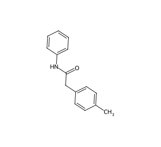 Cc1ccc(CC(=O)Nc2ccccc2)cc1